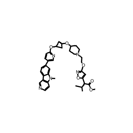 COC(=O)C(c1cc(OCCN2CCC(OC3CC(Oc4ccc(-c5ccc6c7cnccc7n(C)c6c5)cn4)C3)CC2)no1)C(C)C